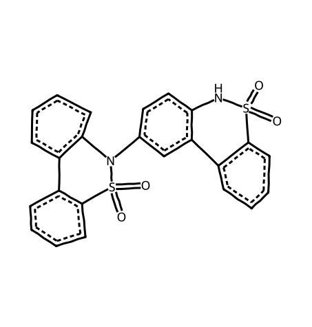 O=S1(=O)Nc2ccc(N3c4ccccc4-c4ccccc4S3(=O)=O)cc2-c2ccccc21